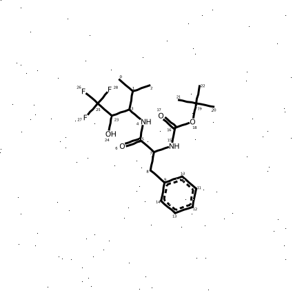 CC(C)C(NC(=O)C(Cc1ccccc1)NC(=O)OC(C)(C)C)C(O)C(F)(F)F